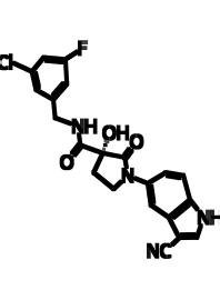 N#Cc1c[nH]c2ccc(N3CC[C@@](O)(C(=O)NCc4cc(F)cc(Cl)c4)C3=O)cc12